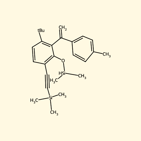 C=C(c1ccc(C)cc1)c1c(C(C)(C)C)ccc(C#C[Si](C)(C)C)c1O[SiH](C)C